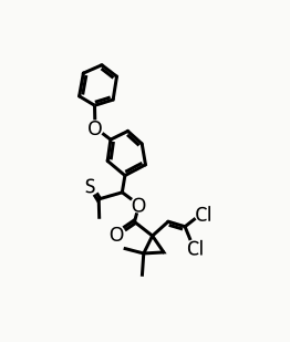 CC(=S)C(OC(=O)C1(C=C(Cl)Cl)CC1(C)C)c1cccc(Oc2ccccc2)c1